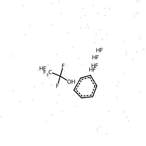 F.F.F.F.F.OC(F)(F)C(F)(F)F.c1ccccc1